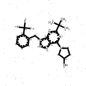 CC(C)(C)c1nc(N2CCC(O)C2)c2nnn(Cc3ccccc3C(F)(F)F)c2n1